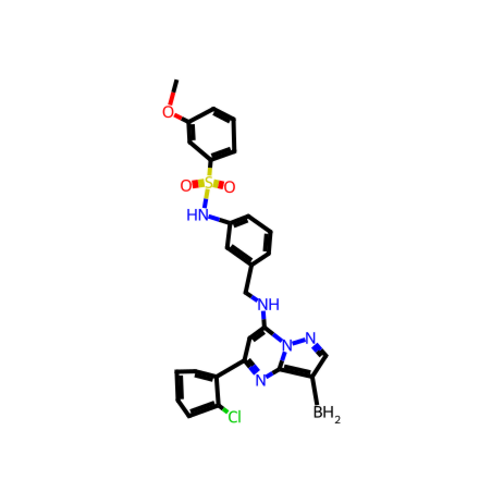 Bc1cnn2c(NCc3cccc(NS(=O)(=O)c4cccc(OC)c4)c3)cc(-c3ccccc3Cl)nc12